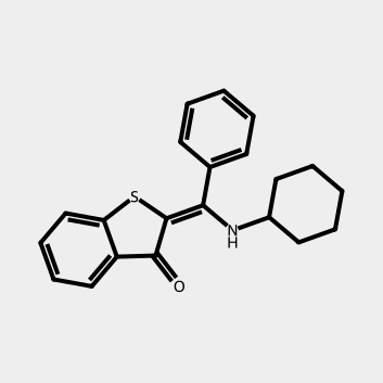 O=C1C(=C(NC2CCCCC2)c2ccccc2)Sc2ccccc21